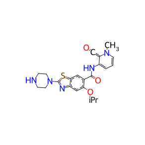 CC(C)Oc1cc2nc(N3CCNCC3)sc2cc1C(=O)NC1=CC=CN(C)C1=C=O